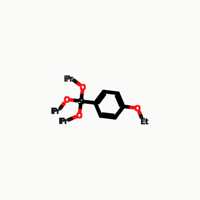 CCOc1ccc([Si](OC(C)C)(OC(C)C)OC(C)C)cc1